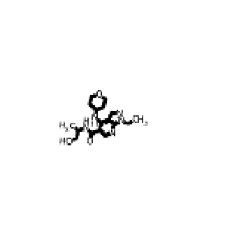 CCn1ncc2c(NC3CCOCC3)c(C(=O)NC(C)CO)cnc21